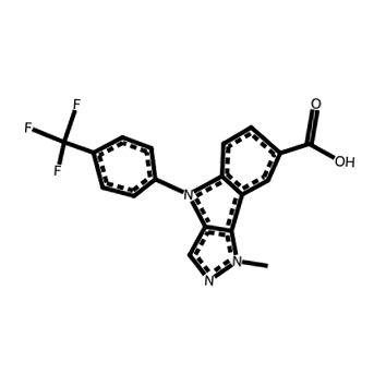 Cn1ncc2c1c1cc(C(=O)O)ccc1n2-c1ccc(C(F)(F)F)cc1